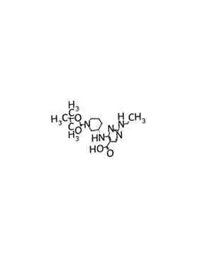 CCNc1ncc(C(=O)O)c(N[C@H]2CCCN(C(=O)OC(C)(C)C)C2)n1